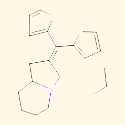 CCBr.c1csc(C(=C2CC3CCCCN3C2)c2cccs2)c1